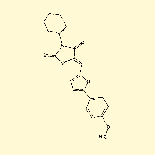 COc1ccc(-c2ccc(/C=C3\SC(=S)N(C4CCCCC4)C3=O)o2)cc1